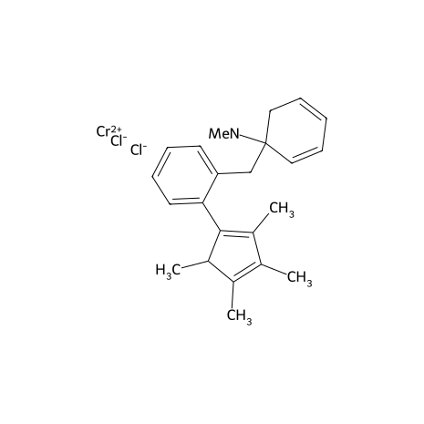 CNC1(Cc2ccccc2C2=C(C)C(C)=C(C)C2C)C=CC=CC1.[Cl-].[Cl-].[Cr+2]